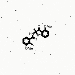 COc1ccccc1C(=O)C(C)(NC(=O)c1cccc(OC)c1C)C(C)C